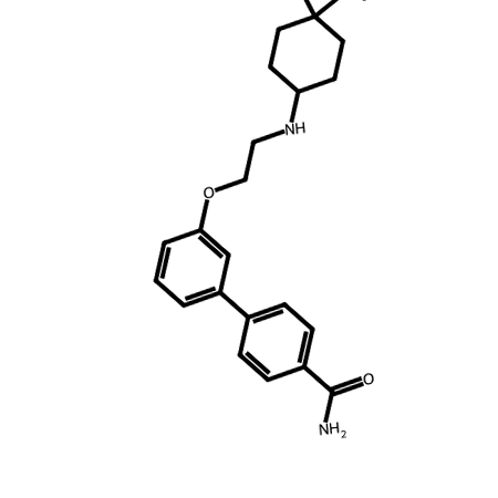 CC1(C)CCC(NCCOc2cccc(-c3ccc(C(N)=O)cc3)c2)CC1